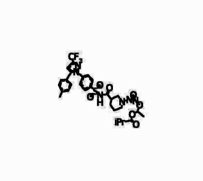 Cc1ccc(-c2cc(C(F)(F)F)nn2-c2ccc(S(=O)(=O)NC(=O)C3CCCN(n4on4OC(C)OC(=O)C(C)C)C3)cc2)cc1